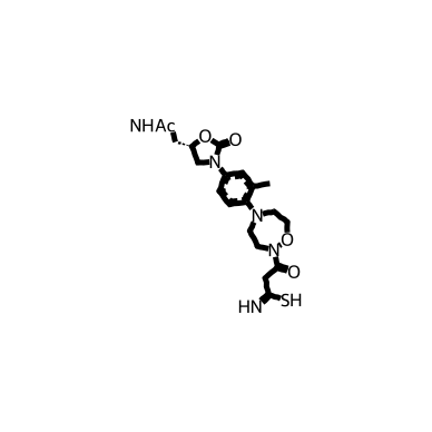 CC(=O)NC[C@H]1CN(c2ccc(N3CCON(C(=O)CC(=N)S)CC3)c(C)c2)C(=O)O1